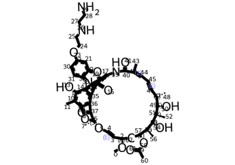 CO[C@H]1/C=C/O[C@@]2(C)Oc3c(C)c(O)c4c(=O)c(c5oc6cc(OCCNCCN)ccc6nc-5c4c3C2=O)NC(=O)/C(C)=C\C=C\[C@H](C)[C@H](O)[C@@H](C)[C@@H](O)[C@@H](C)[C@H](OC(C)=O)C1